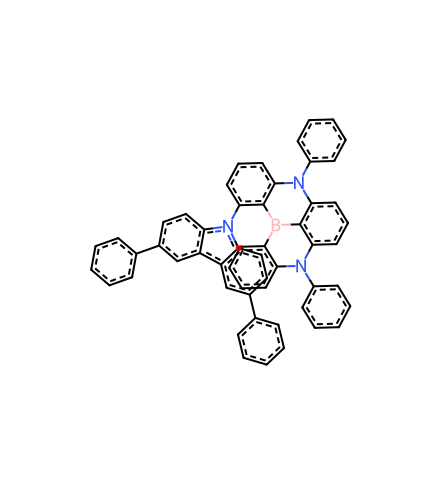 c1ccc(-c2ccc3c(c2)c2cc(-c4ccccc4)ccc2n3-c2cccc3c2B2c4ccccc4N(c4ccccc4)c4cccc(c42)N3c2ccccc2)cc1